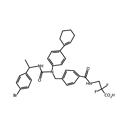 CC(NC(=O)N(Cc1ccc(C(=O)NCC(F)(F)C(=O)O)cc1)c1ccc(C2=CCCCC2)cc1)c1ccc(Br)cc1